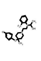 CC(O)N(CCN1CCC(C)(Oc2ccc(Cl)cc2)CC1)c1ccccc1C(F)(F)F